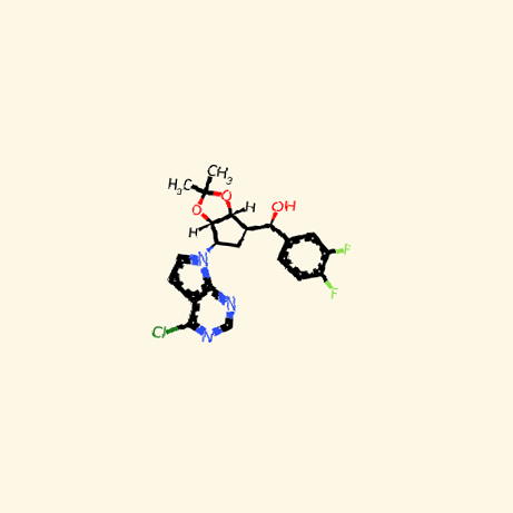 CC1(C)O[C@@H]2[C@@H]([C@@H](O)c3ccc(F)c(F)c3)C[C@@H](n3ccc4c(Cl)ncnc43)[C@@H]2O1